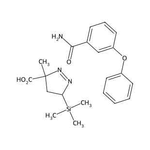 CC1(C(=O)O)CC([Si](C)(C)C)N=N1.NC(=O)c1cccc(Oc2ccccc2)c1